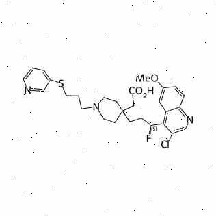 COc1ccc2ncc(Cl)c([C@@H](F)CCC3(CC(=O)O)CCN(CCCSc4cccnc4)CC3)c2c1